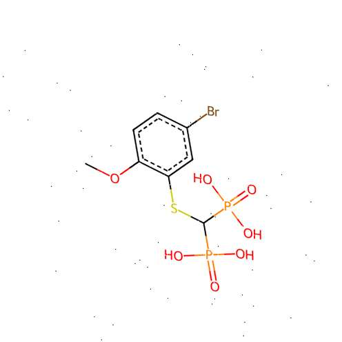 COc1ccc(Br)cc1SC(P(=O)(O)O)P(=O)(O)O